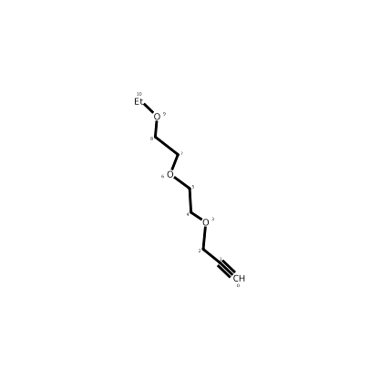 C#CCOCCOCCOCC